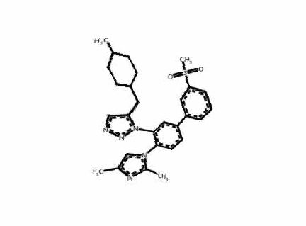 Cc1nc(C(F)(F)F)cn1-c1ccc(-c2cccc(S(C)(=O)=O)c2)cc1-n1nncc1CC1CCC(C)CC1